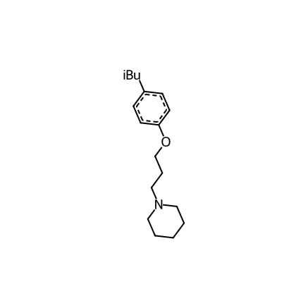 CCC(C)c1ccc(OCCCN2CCCCC2)cc1